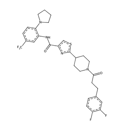 O=C(Nc1cc(C(F)(F)F)ccc1N1CCCC1)c1csc(C2CCN(C(=O)CCc3ccc(F)c(F)c3)CC2)n1